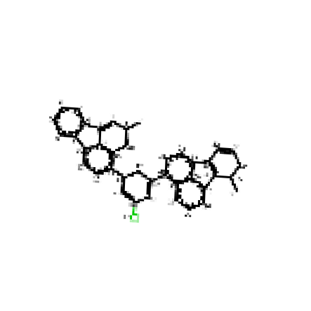 CC1C=C2c3ccccc3-c3ccc(C4C=C(Cl)C=C(c5ccc6c7c(cccc57)C5=C6C=CCC5C)C4)c(c32)C1